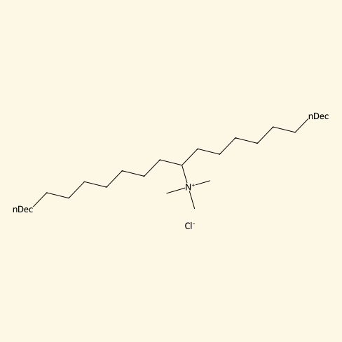 CCCCCCCCCCCCCCCCCC(CCCCCCCCCCCCCCCC)[N+](C)(C)C.[Cl-]